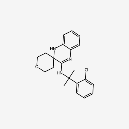 CC(C)(NC1=Nc2ccccc2NC12CCOCC2)c1ccccc1Cl